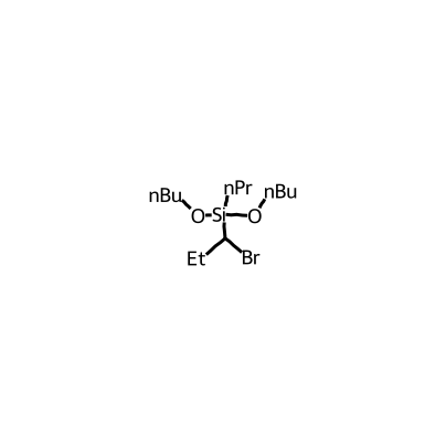 CCCCO[Si](CCC)(OCCCC)C(Br)CC